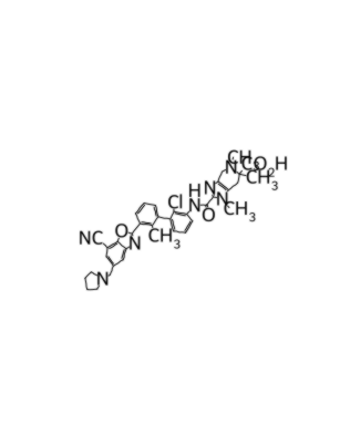 Cc1c(-c2nc3cc(CN4CCCC4)cc(C#N)c3o2)cccc1-c1cccc(NC(=O)c2nc3c(n2C)CC(C)(C(=O)O)N(C)C3)c1Cl